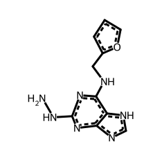 NNc1nc(NCc2ccco2)c2[nH]cnc2n1